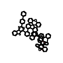 c1ccc(-c2ccc(-c3nc(-c4ccccc4-c4cccc5c4-c4c(ccc6c(-c7cccc8c9c(ccc78)C7(c8ccccc8Oc8ccccc87)c7cccc(-c8ccccc8-c8nc(-c%10cccc%11ccccc%10%11)nc%10c8oc8ccccc8%10)c7-9)cccc46)C54c5ccccc5Oc5ccccc54)c4sc5ccccc5c4n3)cc2)cc1